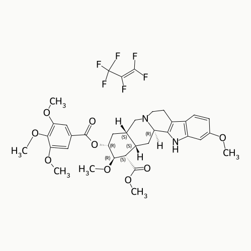 COC(=O)[C@H]1[C@H]2C[C@@H]3c4[nH]c5cc(OC)ccc5c4CCN3C[C@H]2C[C@@H](OC(=O)c2cc(OC)c(OC)c(OC)c2)[C@@H]1OC.FC(F)=C(F)C(F)(F)F